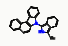 CC(C)(C)c1[nH]c(-n2c3ccccc3c3c4ccccc4ccc32)c2ccccc12